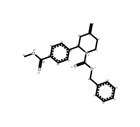 C=C1CCN(C(=O)OCc2ccccc2)C(c2ccc(C(=O)OC)cc2)C1